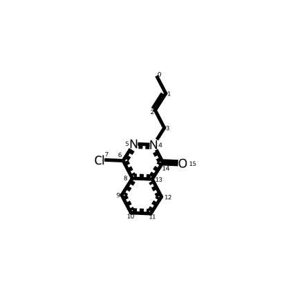 CC=CCn1nc(Cl)c2ccccc2c1=O